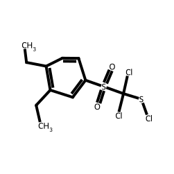 CCc1ccc(S(=O)(=O)C(Cl)(Cl)SCl)cc1CC